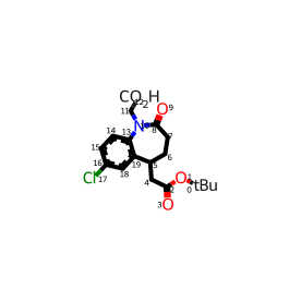 CC(C)(C)OC(=O)CC1CCC(=O)N(CC(=O)O)c2ccc(Cl)cc21